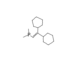 CP(C)C=C(C1CCCCC1)C1CCCCC1